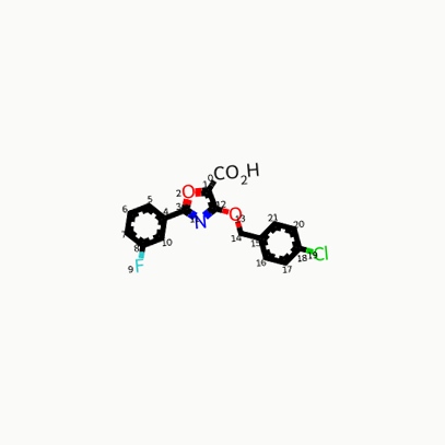 O=C(O)c1oc(-c2cccc(F)c2)nc1OCc1ccc(Cl)cc1